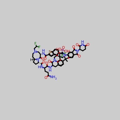 CC(C)(C)c1ccc(CC(NC(=O)C(CCC(N)=O)NC(=O)[C@@H]2CC[C@@H]3CCN(CC(F)F)C[C@H](NC(=O)c4cc5cc(C(F)(F)P(=O)(O)O)ccc5s4)C(=O)N32)C(=O)N2CCC3(CC2)CCN(c2ccc4c(c2)C(=O)N(C2CCC(=O)NC2=O)C4=O)C3)cc1